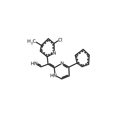 Cc1cc(Cl)nc(/C(C=N)=C2\N=C(c3ccccc3)C=CN2)c1